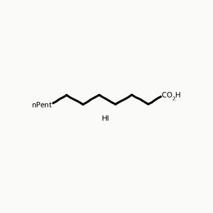 CCCCCCCCCCCC(=O)O.I